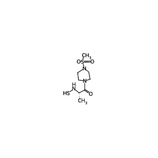 C[C@H](NS)C(=O)N1CCN(S(C)(=O)=O)CC1